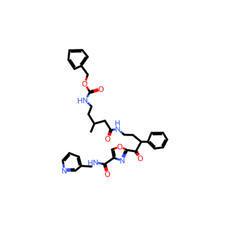 CC(CCNC(=O)OCc1ccccc1)CC(=O)NCCC(C(=O)c1nc(C(=O)NCc2cccnc2)co1)c1ccccc1